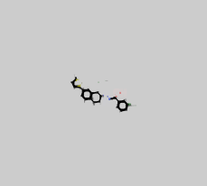 Cl.O=C(O)c1ccc(-c2ccc3c(c2)C[C@@H](NC[C@@H](O)c2cccc(Cl)c2)CC3)s1